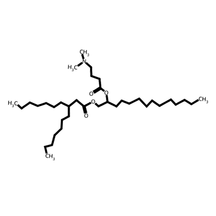 CCCCCCCCCCCCC(COC(=O)CC(CCCCCCC)CCCCCCC)OC(=O)CCCN(C)C